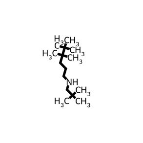 CC(C)(C)CNCCCC(C)(C)C(C)(C)C